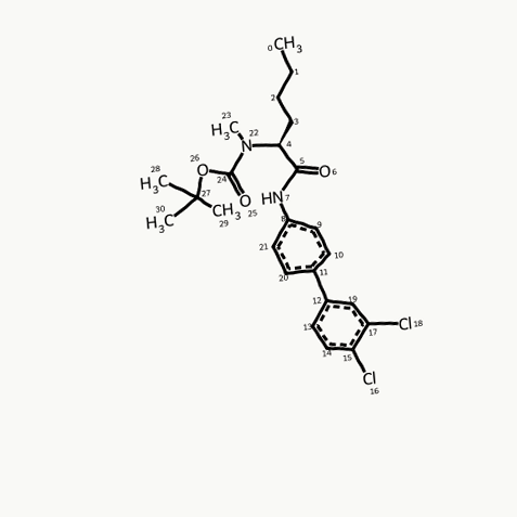 CCCC[C@@H](C(=O)Nc1ccc(-c2ccc(Cl)c(Cl)c2)cc1)N(C)C(=O)OC(C)(C)C